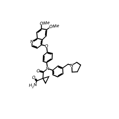 COc1cc2nccc(Oc3ccc(N(C(=O)C4(C(N)=O)CC4)c4cccc(CN5CCCC5)c4)cc3)c2cc1OC